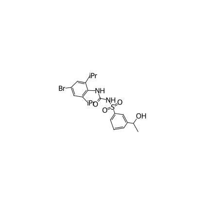 CC(C)c1cc(Br)cc(C(C)C)c1NC(=O)NS(=O)(=O)c1cccc(C(C)O)c1